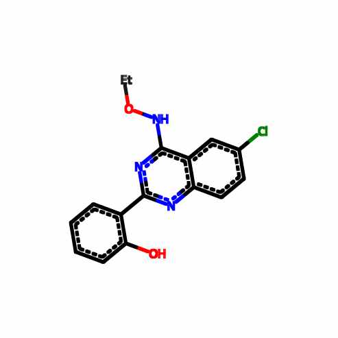 CCONc1nc(-c2ccccc2O)nc2ccc(Cl)cc12